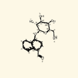 O=Cc1ccc(O[C@@H]2O[C@H](CO)[C@H](O)[C@H](O)[C@H]2O)c2ccccc12